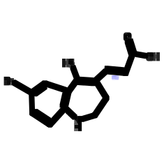 O=C(O)/C=C/C1=C(S)c2cc(Br)ccc2NCC1